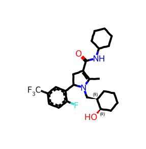 CC1=C(C(=O)NC2CCCCC2)CC(c2cc(C(F)(F)F)ccc2F)N1C[C@H]1CCCC[C@H]1O